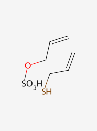 C=CCOS(=O)(=O)O.C=CCS